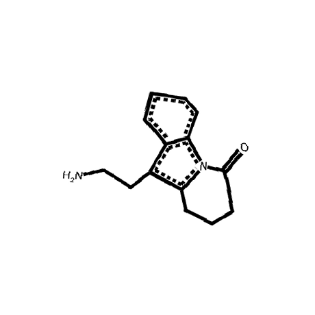 NCCc1c2n(c3ccccc13)C(=O)CCC2